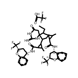 CCC(C1C(C)C1C(=O)N[C@H]1C[C@H](C(F)(F)F)Oc2ccccc21)C1(C(CC)C2C(C)C2C(=O)N[C@H]2C[C@H](C(F)(F)F)Oc3ccccc32)CC(=O)NC(=N)N1.O=C(O)C(F)(F)F